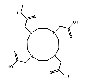 CNC(=O)CN1CCN(CC(=O)O)CCN(CC(=O)O)CCN(CC(=O)O)CC1